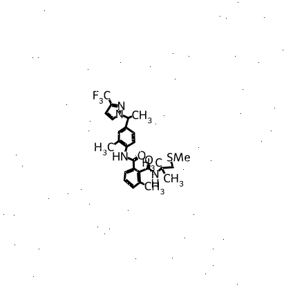 CSCC(C)(C)NC(=O)c1c(C)cccc1C(=O)Nc1ccc(C(C)n2ccc(C(F)(F)F)n2)cc1C